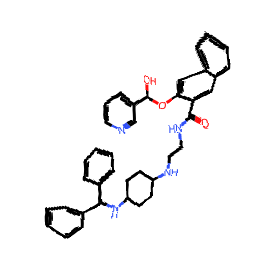 O=C(NCCNC1CCC(NC(c2ccccc2)c2ccccc2)CC1)c1cc2ccccc2cc1OC(O)c1cccnc1